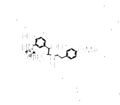 COc1ccc(CCNC(C)C(O)c2ccc(O)c(NS(C)(=O)=O)c2)cc1